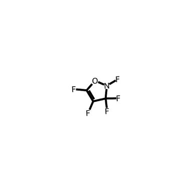 FC1=C(F)C(F)(F)N(F)O1